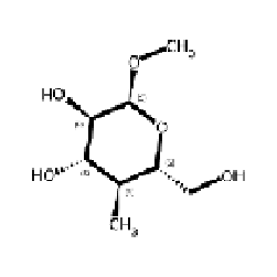 CO[C@H]1O[C@H](CO)[C@@H](C)[C@H](O)[C@H]1O